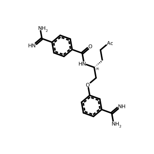 CC(=O)CC[C@H](COc1cccc(C(=N)N)c1)NC(=O)c1ccc(C(=N)N)cc1